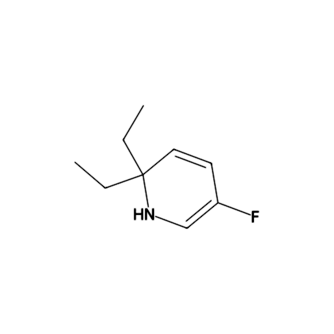 CCC1(CC)C=CC(F)=CN1